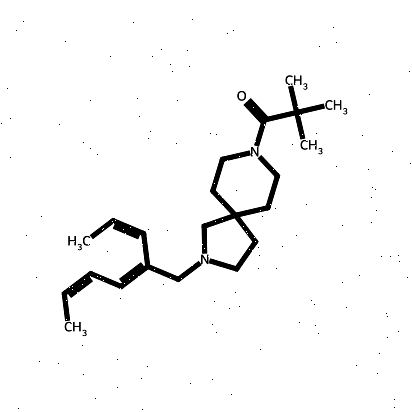 C\C=C/C=C(\C=C/C)CN1CCC2(CCN(C(=O)C(C)(C)C)CC2)C1